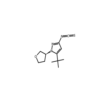 CC(C)(C)c1cc(N=C=S)nn1[C@H]1CCOC1